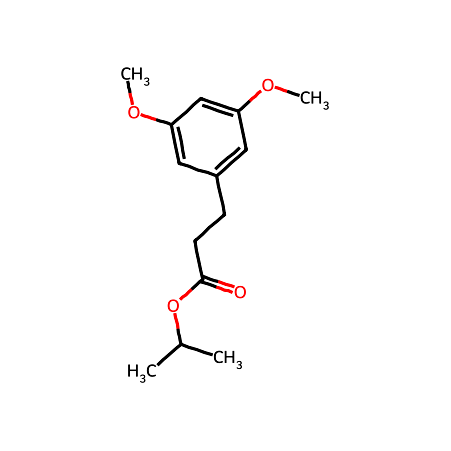 COc1cc(CCC(=O)OC(C)C)cc(OC)c1